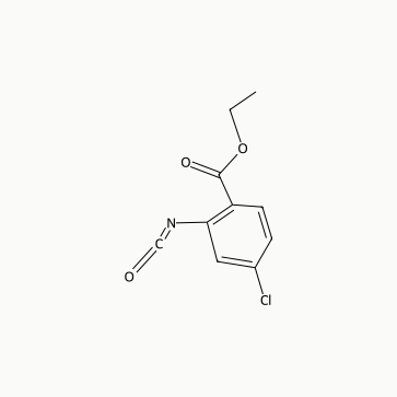 CCOC(=O)c1ccc(Cl)cc1N=C=O